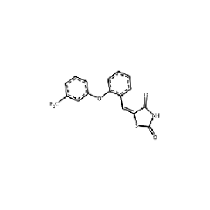 O=C1NC(=O)/C(=C\c2ccccc2Oc2cccc(C(F)(F)F)c2)S1